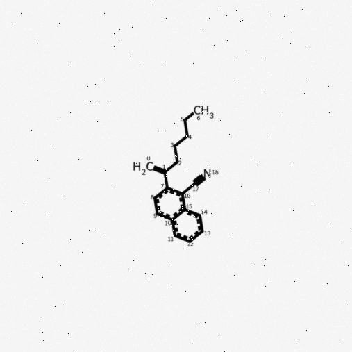 C=C(CCCCC)c1ccc2ccccc2c1C#N